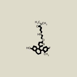 Cc1cc(F)ccc1C1=C(c2ccc(OCCNC/C=C/C(=O)N(C)C)nc2)c2ccc(O)cc2CCC1